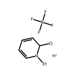 CCN1C=CC=CC1Cl.F[B-](F)(F)F.[H+]